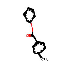 Cc1ccc(C(=O)Oc2cc[c]cc2)cc1